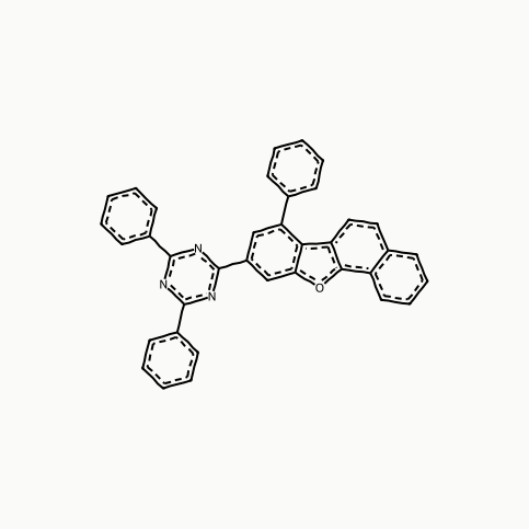 c1ccc(-c2nc(-c3ccccc3)nc(-c3cc(-c4ccccc4)c4c(c3)oc3c5ccccc5ccc34)n2)cc1